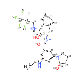 CCNc1cc(C(=O)N[C@@H](Cc2ccccc2)[C@@H](O)CNCC(F)(F)C(F)(F)F)cc(N2CCCC2=O)c1